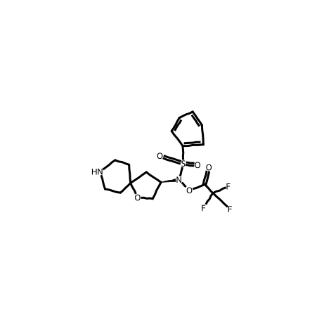 O=C(ON([C@H]1COC2(CCNCC2)C1)S(=O)(=O)c1ccccc1)C(F)(F)F